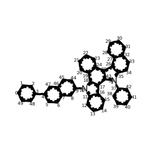 c1ccc(-c2ccc3cc(-n4c5ccccc5c5c4c4ccccc4c4c6c7ccccc7ccc6n(-c6ccccc6)c45)ccc3c2)cc1